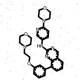 c1cc(OCCN2CCOCC2)cc(-c2cccc3cnc(Nc4ccc(N5CCOCC5)nc4)nc23)c1